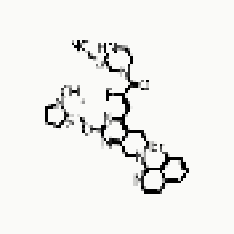 CN1CCC[C@H]1COc1nc(C=C(F)C(=O)N2CCN[C@@H](CC#N)C2)c2c(n1)CN(c1nccc3cccc(Br)c13)CC2